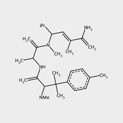 C=C(N)/C(C)=C/C(C(C)C)N(C)C(=C)C(C)NC(=C)C(NC)C(C)(C)c1ccc(C)cc1